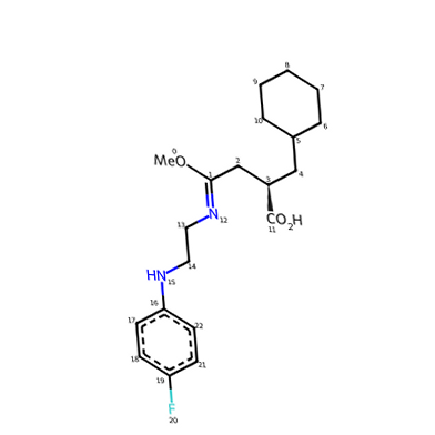 COC(C[C@@H](CC1CCCCC1)C(=O)O)=NCCNc1ccc(F)cc1